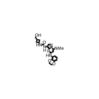 CNc1cc(Nc2cccc3c2OCCO3)nc2c(NC(=O)NC3CC(CO)C3)cnn12